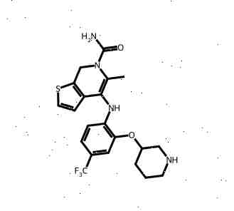 CC1=C(Nc2ccc(C(F)(F)F)cc2OC2CCCNC2)c2ccsc2CN1C(N)=O